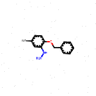 N#Cc1ccc(OCc2ccccc2)c(NN)c1